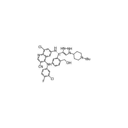 CC(C)(C)N1CCC(N2C=C([C@@H](Nc3cc(Cl)c4ncc(C#N)c(Nc5ccc(F)c(Cl)c5)c4c3)c3ccccc3CO)NN2)CC1